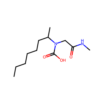 CCCCCCC(C)N(CC(=O)NC)C(=O)O